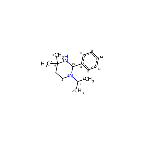 CC(C)N1CCC(C)(C)NC1c1ccccc1